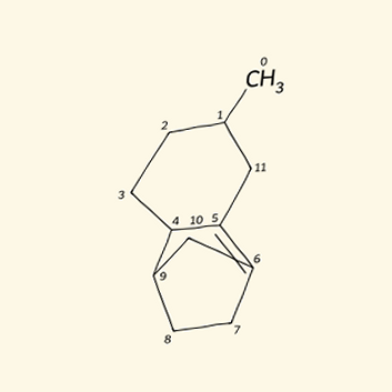 CC1CCC2C(=C3CCC2C3)C1